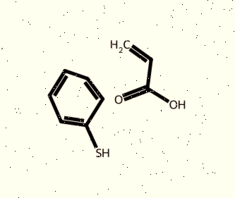 C=CC(=O)O.Sc1ccccc1